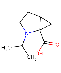 CC(C)N1CCC2CC21C(=O)O